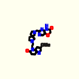 COc1cnc2ccc(=O)n(CCN3CCC4(CCN(Cc5ncc6c(n5)NC(=O)CO6)C4)C3)c2c1